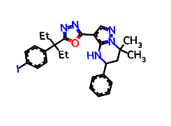 CCC(CC)(c1ccc(I)cc1)c1nnc(-c2cnn3c2NC(c2ccccc2)CC3(C)C)o1